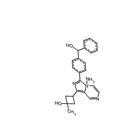 CC1(O)CC(C2=C3C=NC=C[N+]3(N)C(c3ccc(C(O)c4ccccc4)cc3)=N2)C1